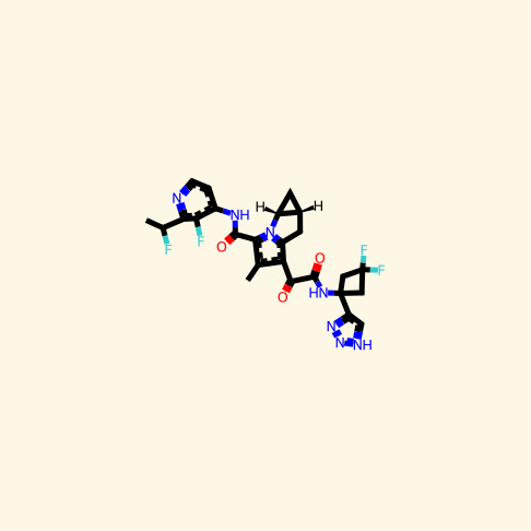 Cc1c(C(=O)C(=O)NC2(c3c[nH]nn3)CC(F)(F)C2)c2n(c1C(=O)Nc1ccnc(C(C)F)c1F)[C@@H]1C[C@@H]1C2